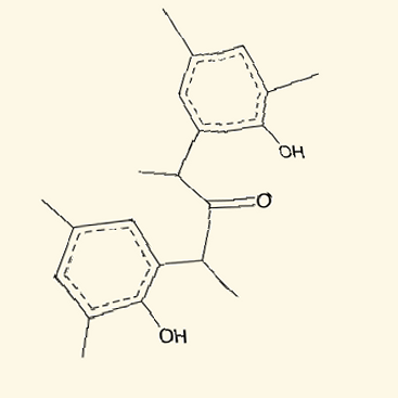 Cc1cc(C)c(O)c(C(C)C(=O)C(C)c2cc(C)cc(C)c2O)c1